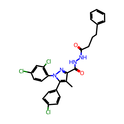 Cc1c(C(=O)NNC(=O)CCCc2ccccc2)nn(-c2ccc(Cl)cc2Cl)c1-c1ccc(Cl)cc1